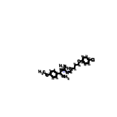 COc1ccc(C(N)/N=C(N)\N=C/NCCCOc2ccc(Cl)cc2)cc1